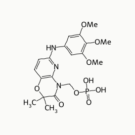 COc1cc(Nc2ccc3c(n2)N(COP(=O)(O)O)C(=O)C(C)(C)O3)cc(OC)c1OC